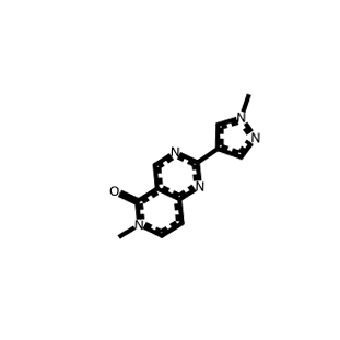 Cn1cc(-c2ncc3c(=O)n(C)ccc3n2)cn1